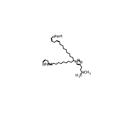 CCCCC/C=C\C/C=C\CCCCCCCCC(CCCCCCCC/C=C\C/C=C\CCCCC)n1cc(CCN(C)C)nn1